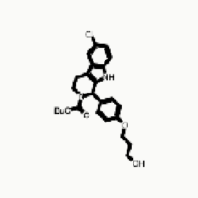 CC(C)COC(=O)N1CCc2c([nH]c3ccc(Cl)cc23)C1c1ccc(OCCCO)cc1